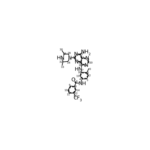 Cc1ccc(NC(=O)c2cccc(C(F)(F)F)c2)cc1Nc1ncnc2c(N)nc(N3CC(C)NC(C)C3)nc12